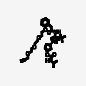 C#CCOCCOCCOCCOc1ccccc1CC(=O)Nc1cc([C@@H]2CC[C@H](OC(=O)NC(C)C)C2)nn1C(C)(C)C